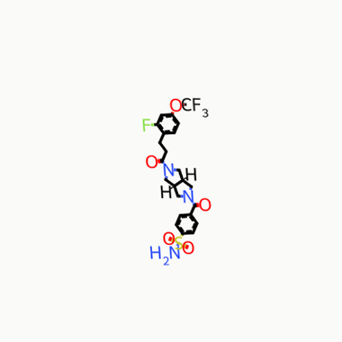 NS(=O)(=O)c1ccc(C(=O)N2C[C@H]3CN(C(=O)CCc4ccc(OC(F)(F)F)cc4F)C[C@H]3C2)cc1